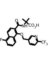 CC(C)(NC(=O)c1ccc2c(F)cccc2c1OCc1ccc(C(F)(F)F)nc1)C(=O)O